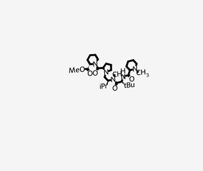 COC(=O)[C@@H]1CCCCN1C(=O)C1CCCN1C[C@H](C(C)C)N(C)C(=O)[C@@H](NC(=O)C1CCCCN1C)C(C)(C)C